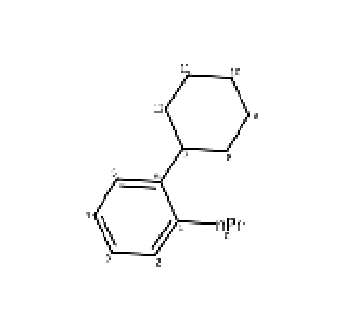 CC[CH]c1ccccc1C1CCCCC1